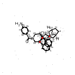 Cc1nc2ccccc2n1C1C[C@H]2CC[C@@H](C1)N2CCC1(c2ccccc2)CCN(C(=O)c2ccc(N)cc2)CC1